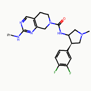 CC(C)Nc1ncc2c(n1)CN(C(=O)NC1CN(C)C[C@H]1c1ccc(F)c(F)c1)CC2